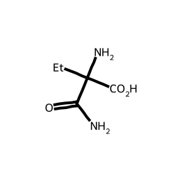 CCC(N)(C(N)=O)C(=O)O